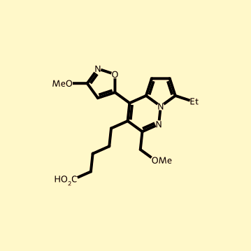 CCc1ccc2c(-c3cc(OC)no3)c(CCCCC(=O)O)c(COC)nn12